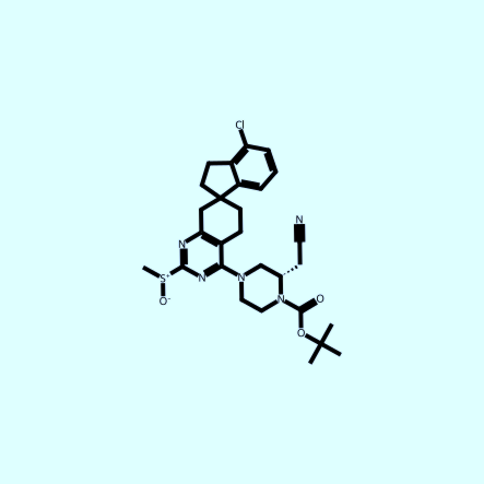 C[S+]([O-])c1nc2c(c(N3CCN(C(=O)OC(C)(C)C)[C@@H](CC#N)C3)n1)CCC1(CCc3c(Cl)cccc31)C2